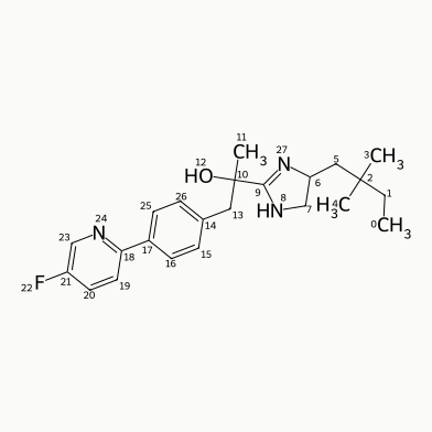 CCC(C)(C)CC1CNC(C(C)(O)Cc2ccc(-c3ccc(F)cn3)cc2)=N1